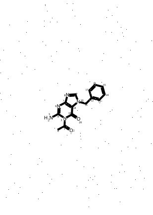 CC(=O)n1c(N)nc2ncn(Cc3ccccc3)c2c1=O